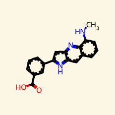 CNc1cccc2cc3[nH]c(-c4cccc(C(=O)O)c4)cc3nc12